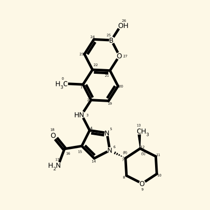 Cc1c(Nc2nn([C@H]3COCC[C@@H]3C)cc2C(N)=O)ccc2c1C=CB(O)O2